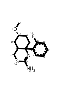 CO[C@@H]1CCC2(c3ccccc3F)N=C(N)SCC2C1